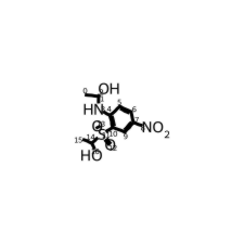 CC(O)Nc1ccc([N+](=O)[O-])cc1S(=O)(=O)C(C)O